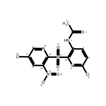 CC(=O)Nc1ccc(Cl)nc1S(=O)(=O)c1ncc(Cl)cc1[N+](=O)[O-]